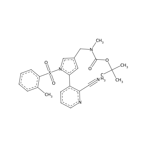 Cc1ccccc1S(=O)(=O)n1cc(CN(C)C(=O)OC(C)(C)C)cc1-c1cccnc1C#N